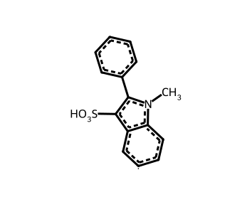 Cn1c(-c2ccccc2)c(S(=O)(=O)O)c2c[c]ccc21